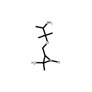 CCB1C(COC(C)(C)C(C)N)C1(C)N